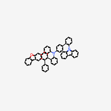 c1ccc(-c2ccccc2-c2ccccc2N(c2ccc(-c3ccccc3-n3c4ccccc4c4ccccc43)cc2)c2cccc(-c3ccc4c(c3)oc3ccccc34)c2)cc1